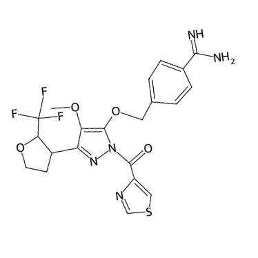 COc1c(C2CCOC2C(F)(F)F)nn(C(=O)c2cscn2)c1OCc1ccc(C(=N)N)cc1